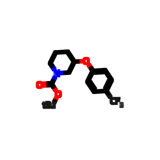 CC(C)(C)OC(=O)N1CCCC(Oc2ccc(C(F)(F)F)cc2)C1